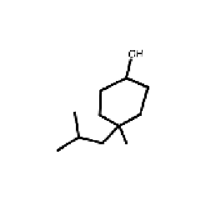 CC(C)CC1(C)CCC(O)CC1